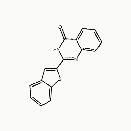 O=c1[nH]c(-c2cc3ccccc3s2)nc2ccccc12